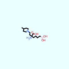 CC1CCN(CCC(N)(CCCCB(O)O)C(=O)O)CC1